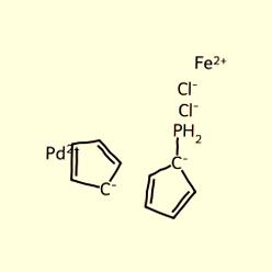 P[c-]1cccc1.[Cl-].[Cl-].[Fe+2].[Pd+2].c1cc[cH-]c1